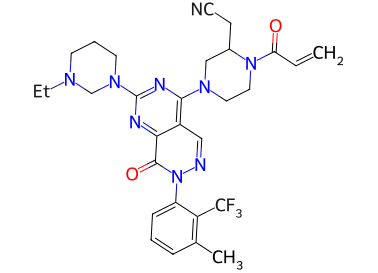 C=CC(=O)N1CCN(c2nc(N3CCCN(CC)C3)nc3c(=O)n(-c4cccc(C)c4C(F)(F)F)ncc23)CC1CC#N